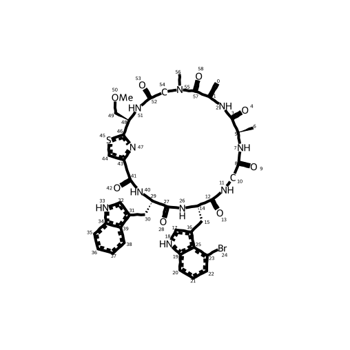 C=C1NC(=O)[C@@H](C)NC(=O)CNC(=O)[C@H](Cc2c[nH]c3cccc(Br)c23)NC(=O)[C@H](Cc2c[nH]c3ccccc23)NC(=O)c2csc(n2)[C@@H](COC)NC(=O)CN(C)C1=O